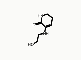 O=C1NCCC=C1NCCO